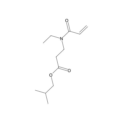 C=CC(=O)N(CC)CCC(=O)OCC(C)C